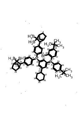 BC1(B)C2CCC(C2)C1c1ccc(N(c2ccc(C3C4CCC(C4)C3(B)B)cc2)c2cc(C3CCCCC3)cc(N(c3ccc(C(C)(C)C)cc3)c3ccc(C(C)(C)C)cc3Br)c2)cc1